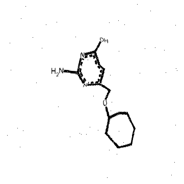 Nc1nc(O)cc(COC2CCCCC2)n1